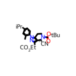 CCOC(=O)c1nn(-c2ccc(C(C)C)cc2C)c2c1[C@H](C#N)N(C(=O)OC(C)(C)C)CC2